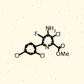 COC(=O)c1nc(-c2ccc(Cl)cc2Cl)c(F)c(N)c1Cl